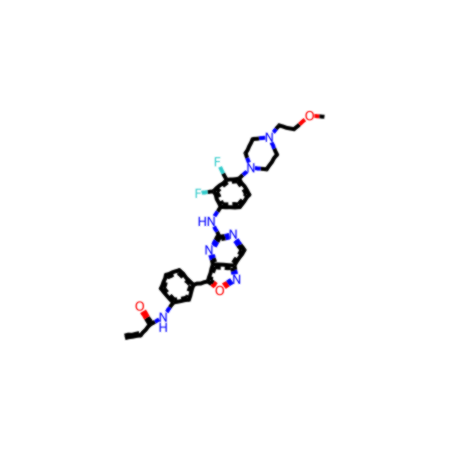 C=CC(=O)Nc1cccc(-c2onc3cnc(Nc4ccc(N5CCN(CCOC)CC5)c(F)c4F)nc23)c1